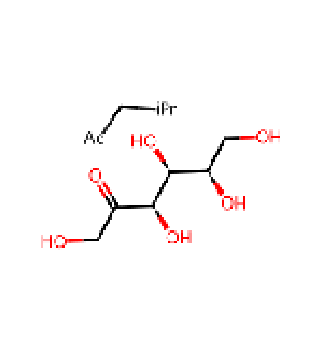 CC(=O)CC(C)C.O=C(CO)[C@H](O)[C@@H](O)[C@H](O)CO